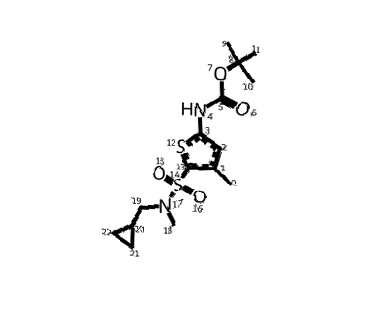 Cc1cc(NC(=O)OC(C)(C)C)sc1S(=O)(=O)N(C)CC1CC1